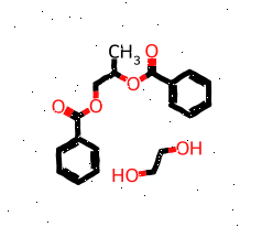 CC(COC(=O)c1ccccc1)OC(=O)c1ccccc1.OCCO